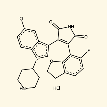 Cl.O=C1NC(=O)C(c2cn(C3CCNCC3)c3ccc(Cl)cc23)=C1c1c(F)ccc2c1OCC2